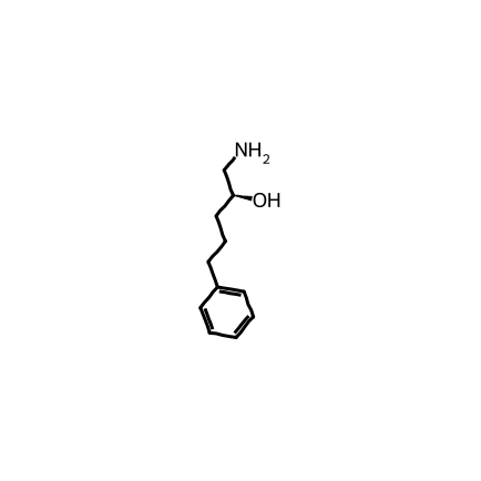 NC[C@@H](O)CCCc1ccccc1